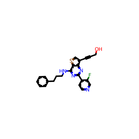 OCC#Cc1csc2c(NCCCc3ccccc3)nc(-c3ccncc3F)nc12